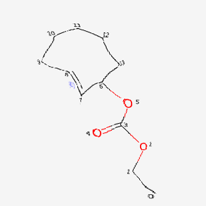 CCOC(=O)OC1/C=C/CCCCC1